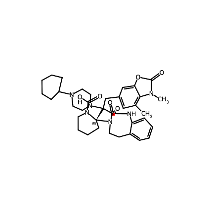 Cc1cc(CC(C=O)(N2CCN(C3CCCCC3)CC2)[C@@]2(N3CCc4ccccc4NC3=O)CCCCN2C(=O)O)cc2oc(=O)n(C)c12